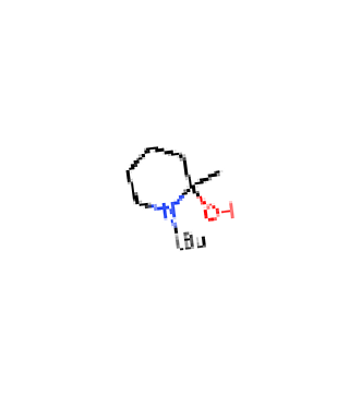 CC(C)(C)N1CCCCC1(C)O